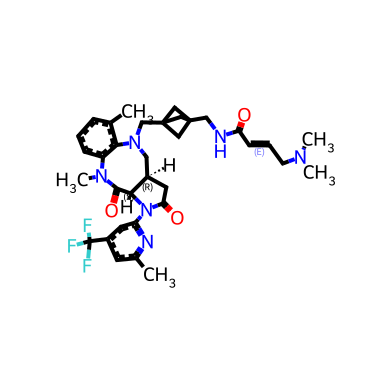 Cc1cc(C(F)(F)F)cc(N2C(=O)C[C@@H]3CN(CC45CC(CNC(=O)/C=C/CN(C)C)(C4)C5)c4c(C)cccc4N(C)C(=O)[C@H]32)n1